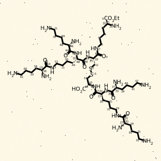 CCOC(=O)[C@@H](N)CCCCNC(=O)[C@H](CSSC[C@H](NC(=O)[C@H](CCCCNC(=O)[C@@H](N)CCCCN)NC(=O)[C@@H](N)CCCCN)C(=O)O)NC(=O)[C@H](CCCCNC(=O)[C@@H](N)CCCCN)NC(=O)[C@@H](N)CCCCN